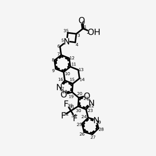 O=C(O)C1CN(Cc2ccc3c(c2)CCc2c-3noc2-c2onc(-c3ccccn3)c2C(F)(F)F)C1